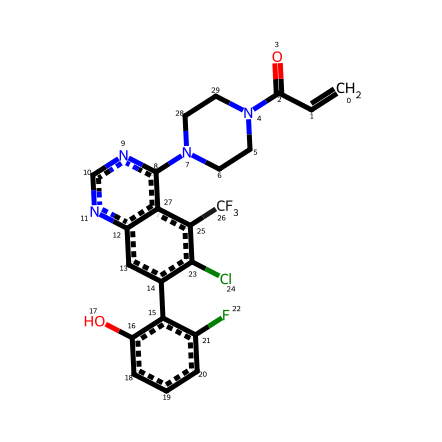 C=CC(=O)N1CCN(c2ncnc3cc(-c4c(O)cccc4F)c(Cl)c(C(F)(F)F)c23)CC1